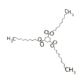 CCCCCCCCCCCOC(=O)C1CC(C(=O)OCCCCCCCCCCC)CC(C(=O)OCCCCCCCCCCC)C1